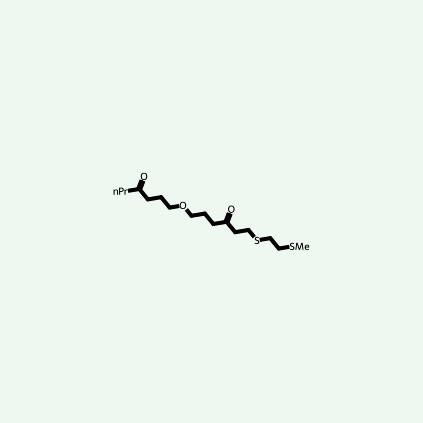 CCCC(=O)CCCOCCCC(=O)CCSCCSC